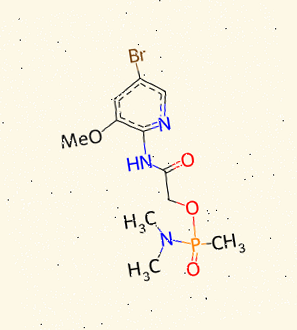 COc1cc(Br)cnc1NC(=O)COP(C)(=O)N(C)C